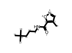 Cc1cnoc1C(=O)NCCCC(C)(C)C